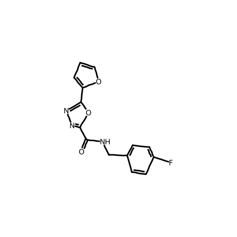 O=C(NCc1ccc(F)cc1)c1nnc(-c2ccco2)o1